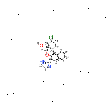 COCCOc1c(C2=NCCN2)cc2ccccc2c1-c1ccc(Cl)cc1